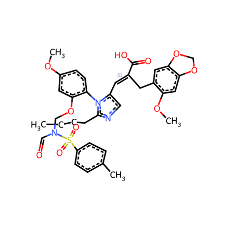 CCCCc1ncc(/C=C(\Cc2cc3c(cc2OC)OCO3)C(=O)O)n1-c1ccc(OC)cc1OCN(C=O)S(=O)(=O)c1ccc(C)cc1